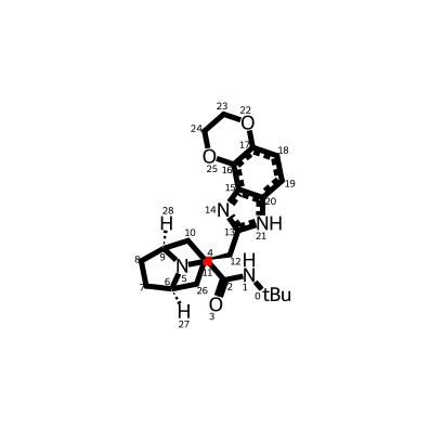 CC(C)(C)NC(=O)CN1[C@@H]2CC[C@H]1C[C@@H](Cc1nc3c4c(ccc3[nH]1)OCCO4)C2